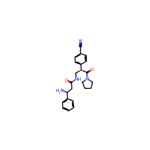 N#Cc1ccc(C(CNC(=O)CC(N)c2ccccc2)C(=O)N2CCCC2)cc1